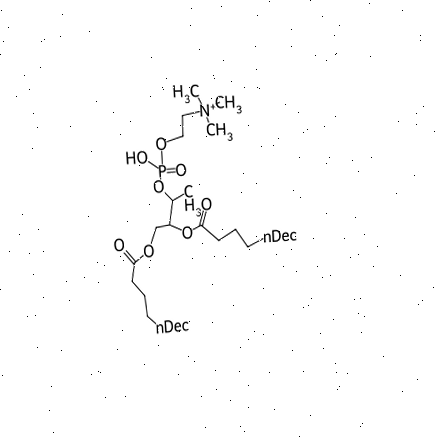 CCCCCCCCCCCCCC(=O)OCC(OC(=O)CCCCCCCCCCCCC)C(C)OP(=O)(O)OCC[N+](C)(C)C